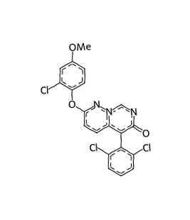 COc1ccc(Oc2ccc3c(-c4c(Cl)cccc4Cl)c(=O)ncn3n2)c(Cl)c1